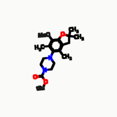 COc1c(C)c(N2CCN(C(=O)OC(C)(C)C)CC2)c(C)c2c1OC(C)(C)C2